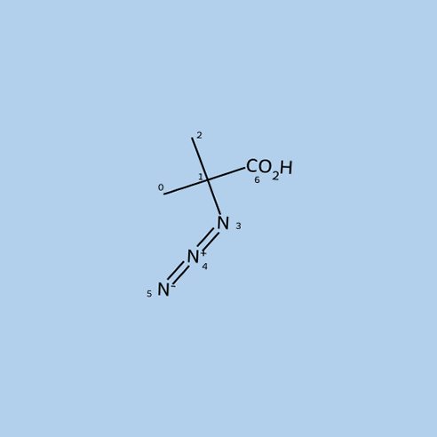 CC(C)(N=[N+]=[N-])C(=O)O